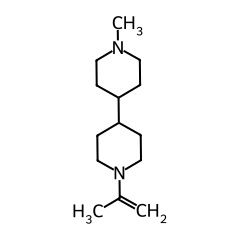 C=C(C)N1CCC(C2CCN(C)CC2)CC1